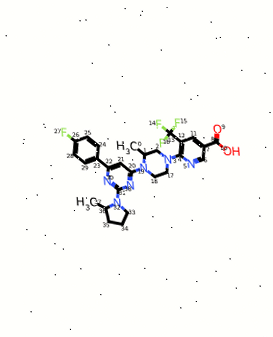 CC1CN(c2ncc(C(=O)O)cc2C(F)(F)F)CCN1c1cc(-c2ccc(F)cc2)nc(N2CCCC2C)n1